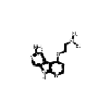 CCN(CC)CCOc1ccnc2[nH]c3cnc(N)cc3c12